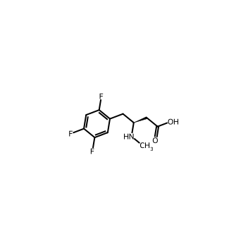 CN[C@H](CC(=O)O)Cc1cc(F)c(F)cc1F